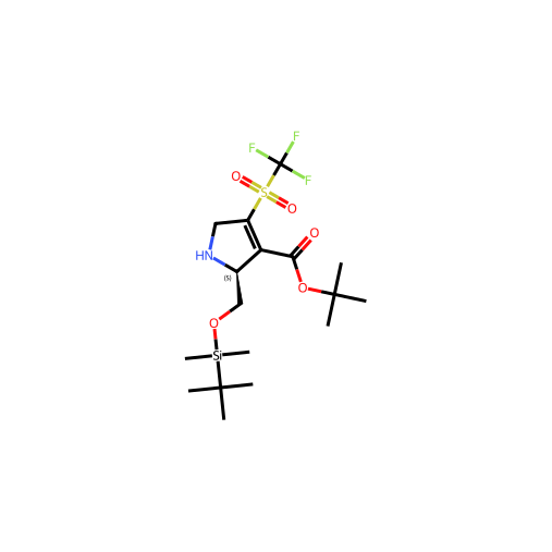 CC(C)(C)OC(=O)C1=C(S(=O)(=O)C(F)(F)F)CN[C@@H]1CO[Si](C)(C)C(C)(C)C